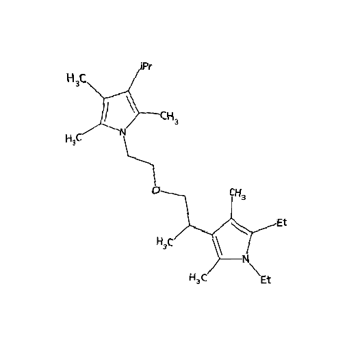 CCc1c(C)c(C(C)COCCn2c(C)c(C)c(C(C)C)c2C)c(C)n1CC